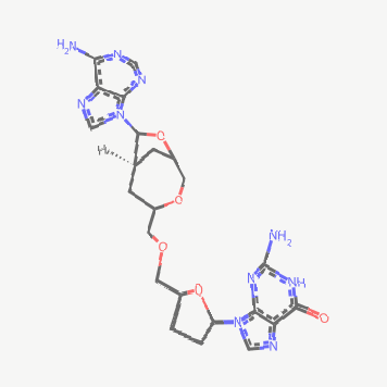 Nc1nc2c(ncn2C2CCC(COCC3C[C@@H]4CC(CO3)OC4n3cnc4c(N)ncnc43)O2)c(=O)[nH]1